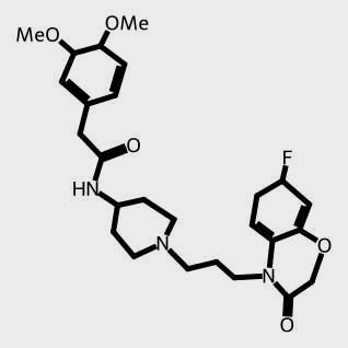 COC1C=CC(CC(=O)NC2CCN(CCCN3C(=O)COC4=CC(F)CC=C43)CC2)=CC1OC